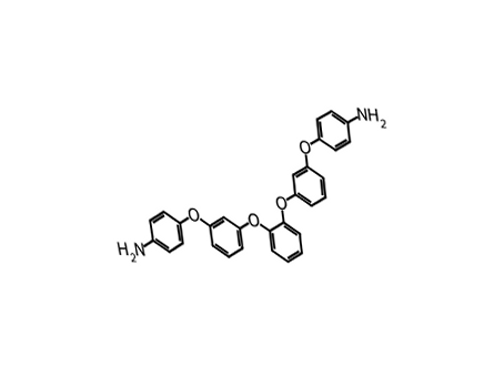 Nc1ccc(Oc2cccc(Oc3ccccc3Oc3cccc(Oc4ccc(N)cc4)c3)c2)cc1